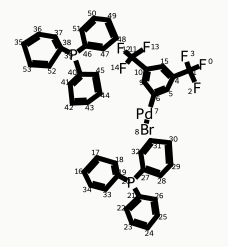 FC(F)(F)c1c[c]([Pd][Br])cc(C(F)(F)F)c1.c1ccc(P(c2ccccc2)c2ccccc2)cc1.c1ccc(P(c2ccccc2)c2ccccc2)cc1